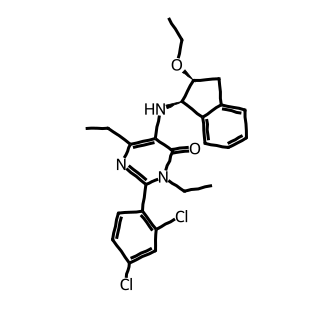 CCO[C@H]1Cc2ccccc2[C@H]1Nc1c(CC)nc(-c2ccc(Cl)cc2Cl)n(CC)c1=O